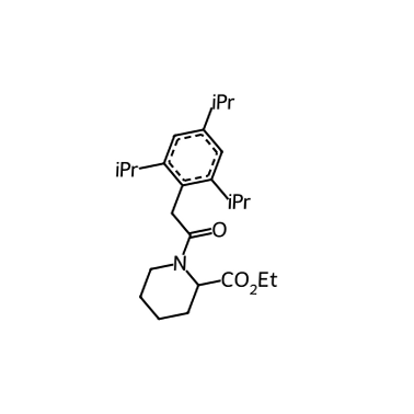 CCOC(=O)C1CCCCN1C(=O)Cc1c(C(C)C)cc(C(C)C)cc1C(C)C